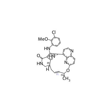 COc1c(Cl)cccc1Nc1c2[nH]c3c1C(=O)NC[C@H]3C/C=C/[C@H](C)Oc1ccc3nccc-2c3n1